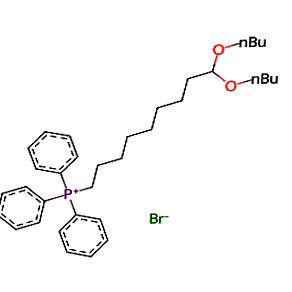 CCCCOC(CCCCCCCC[P+](c1ccccc1)(c1ccccc1)c1ccccc1)OCCCC.[Br-]